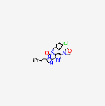 CC(C)CCC1CN=C2c3ncc(N4CCOCC4)cc3N(Cc3ccc(Cl)cc3)C(=O)N21